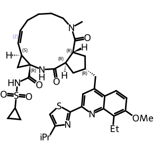 CCc1c(OC)ccc2c(C[C@@H]3C[C@H]4C(=O)N[C@]5(C(=O)NS(=O)(=O)C6CC6)C[C@H]5/C=C\CCCCN(C)C(=O)[C@@H]4C3)cc(-c3nc(C(C)C)cs3)nc12